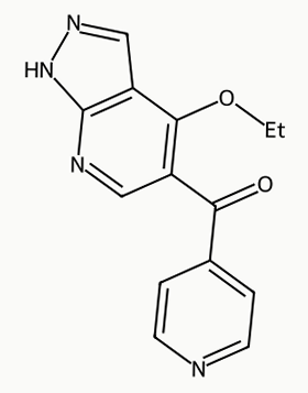 CCOc1c(C(=O)c2ccncc2)cnc2[nH]ncc12